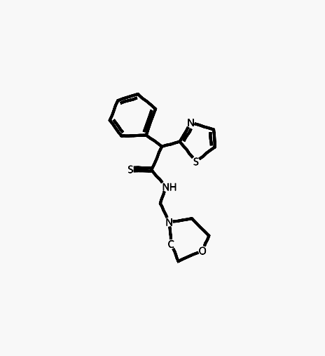 S=C(NCN1CCOCC1)C(c1ccccc1)c1nccs1